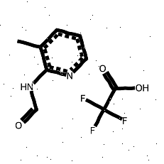 Cc1cccnc1NC=O.O=C(O)C(F)(F)F